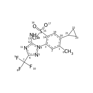 Cc1cc(-n2nc(C(F)(F)F)nc2N)c(S(=O)(=O)Cl)cc1C1CC1